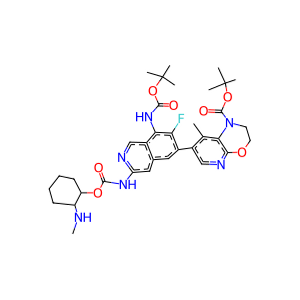 CNC1CCCCC1OC(=O)Nc1cc2cc(-c3cnc4c(c3C)N(C(=O)OC(C)(C)C)CCO4)c(F)c(NC(=O)OC(C)(C)C)c2cn1